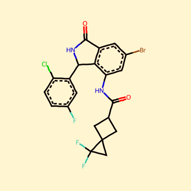 O=C1NC(c2cc(F)ccc2Cl)c2c(NC(=O)C3CC4(C3)CC4(F)F)cc(Br)cc21